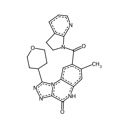 Cc1cc2[nH]c(=O)c3nnc(C4CCOCC4)n3c2cc1C(=O)N1CCc2cccnc21